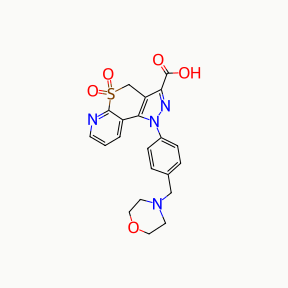 O=C(O)c1nn(-c2ccc(CN3CCOCC3)cc2)c2c1CS(=O)(=O)c1ncccc1-2